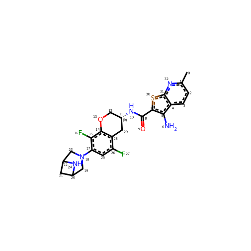 Cc1ccc2c(N)c(C(=O)N[C@H]3COc4c(F)c(N5CC6CC(C5)N6)cc(F)c4C3)sc2n1